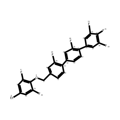 CCc1cc(F)c(OCc2ccc(-c3ccc(-c4cc(F)c(F)c(F)c4)c(F)c3)c(F)c2)c(F)c1